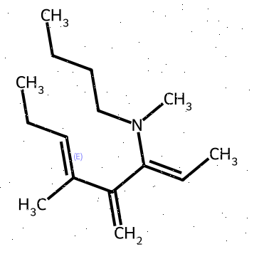 C=C(C(=CC)N(C)CCCC)/C(C)=C/CC